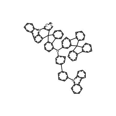 c1cc(-c2ccc(N(c3ccc4c(c3)C3(c5ccccc5-c5ccccc53)c3ccccc3-4)c3cccc4c3-c3ccccc3C43c4ccccc4-n4c5ccccc5c5cccc3c54)cc2)cc(-n2c3ccccc3c3ccccc32)c1